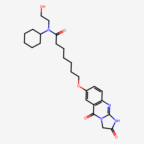 O=C1Cn2c(nc3ccc(OCCCCCCC(=O)N(CCO)C4CCCCC4)cc3c2=O)N1